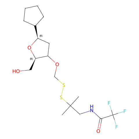 CC(C)(CNC(=O)C(F)(F)F)SSCOC1C[C@H](C2CCCC2)O[C@@H]1CO